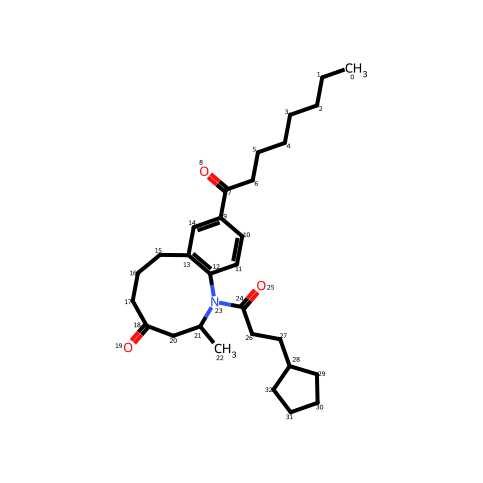 CCCCCCCC(=O)c1ccc2c(c1)CCCC(=O)CC(C)N2C(=O)CCC1CCCC1